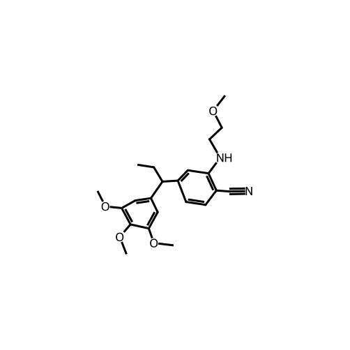 CCC(c1ccc(C#N)c(NCCOC)c1)c1cc(OC)c(OC)c(OC)c1